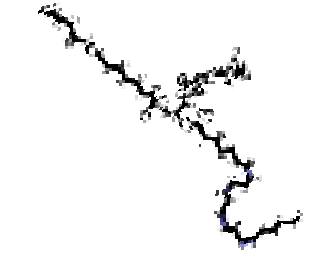 CCCCC/C=C\C/C=C\C/C=C\C/C=C\CCCCCC(=O)O[C@H](COC(=O)CCCCCCCCCCCCCC)COP(=O)([O-])OCC[N+](C)(C)C